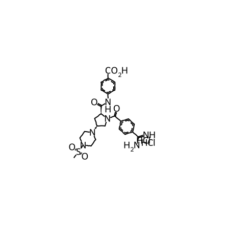 CS(=O)(=O)N1CCN([C@H]2C[C@@H](C(=O)Nc3ccc(C(=O)O)cc3)N(C(=O)c3ccc(C(=N)N)cc3)C2)CC1.Cl.Cl